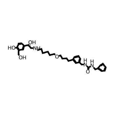 O=C(NCc1ccccc1)NCc1cccc(CCCCOCCCCCCNC[C@@H](O)c2ccc(O)c(CO)c2)c1